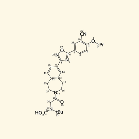 CC(C)Oc1ccc(-c2nc(-c3ccc4c(c3)CCN(C(=O)CN(C(=O)O)C(C)(C)C)CC4)no2)cc1C#N